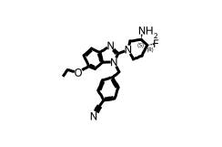 CCOc1ccc2nc(N3CC[C@@H](F)[C@@H](N)C3)n(Cc3ccc(C#N)cc3)c2c1